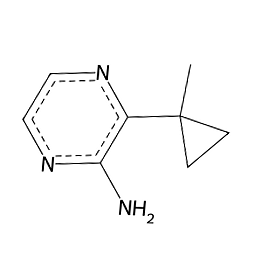 CC1(c2nccnc2N)CC1